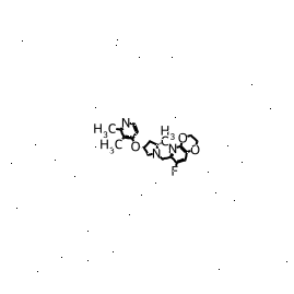 Cc1nccc(O[C@@H]2C[C@H](C)N(Cc3nc4c(cc3F)OCCO4)C2)c1C